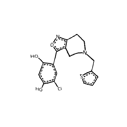 Oc1cc(O)c(-c2onc3c2CN(Cc2cccs2)CC3)cc1Cl